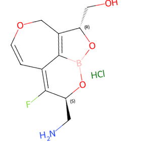 Cl.NC[C@@H]1OB2O[C@@H](CO)C3=C2C(=C1F)C=COC3